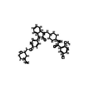 CC(=O)N1CCOC(COc2ccc(-n3c(=O)n(CC4CCC(NC(=O)c5cc(Cl)cnc5C)CC4)c4ccccc43)cn2)C1